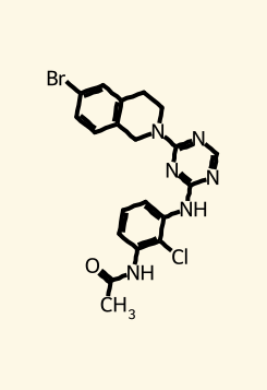 CC(=O)Nc1cccc(Nc2ncnc(N3CCc4cc(Br)ccc4C3)n2)c1Cl